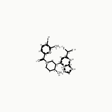 Cc1nc(C(=O)N2CC[C@H](C)[C@H](c3cc(C(F)F)nc4ncnn34)C2)ccc1F